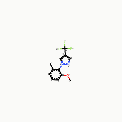 COc1cccc(C)c1-n1cc(C(F)(F)F)cn1